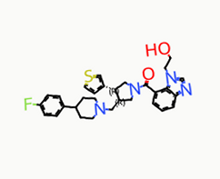 O=C(c1cccc2ncn(CCO)c12)N1C[C@@H](CN2CCC(c3ccc(F)cc3)CC2)[C@H](c2ccsc2)C1